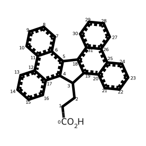 O=C(O)CCC1c2c(c3ccccc3c3ccccc23)-c2c1c1ccccc1c1ccccc21